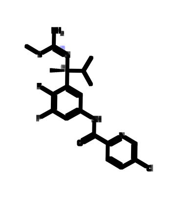 CS/C(N)=N\[C@](C)(c1cc(NC(=O)c2ccc(Cl)cn2)cc(F)c1F)C(C)C